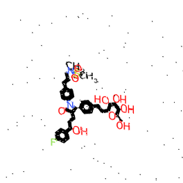 CN(CCCc1ccc(N2C(=O)C(CC[C@H](O)c3ccc(F)cc3)[C@H]2c2ccc(CCC3O[C@H](CO)[C@@H](O)[C@H](O)[C@H]3O)cc2)cc1)S(C)(=O)=O